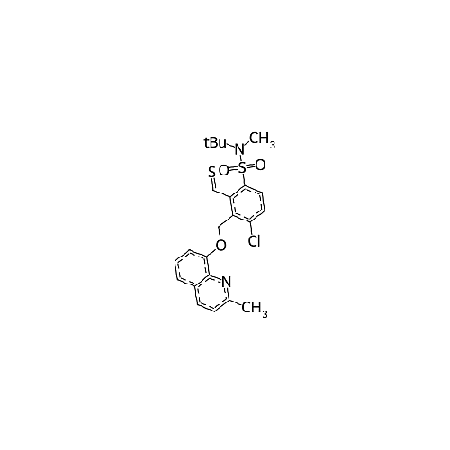 Cc1ccc2cccc(OCc3c(Cl)ccc(S(=O)(=O)N(C)C(C)(C)C)c3C=S)c2n1